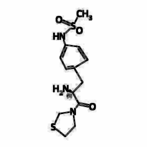 CS(=O)(=O)Nc1ccc(C[C@H](N)C(=O)N2CCSC2)cc1